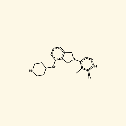 Cc1c(N2Cc3cccc(NC4CCNCC4)c3C2)cn[nH]c1=O